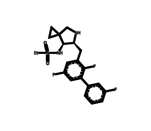 CCS(=O)(=O)N[C@@H]1[C@H](Cc2cc(F)cc(-c3cccc(F)c3)c2F)NCC12CC2